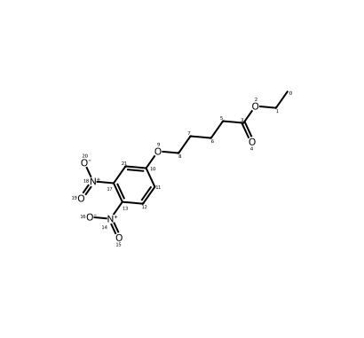 CCOC(=O)CCCCOc1ccc([N+](=O)[O-])c([N+](=O)[O-])c1